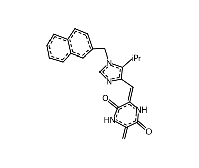 C=c1[nH]c(=O)c(=Cc2ncn(Cc3ccc4ccccc4c3)c2C(C)C)[nH]c1=O